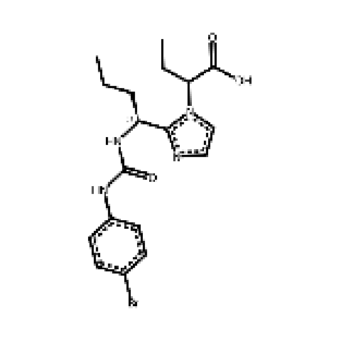 CCC[C@H](NC(=O)Nc1ccc(Br)cc1)c1nccn1C(CC)C(=O)O